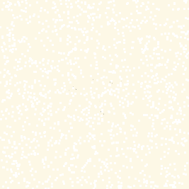 CC(=O)N[O-].C[N+]12CCN(CC1)CC2